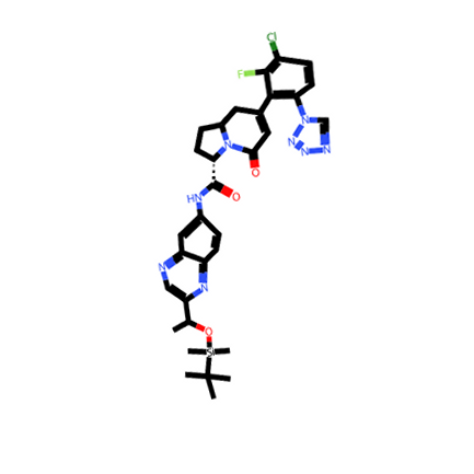 CC(O[Si](C)(C)C(C)(C)C)c1cnc2cc(NC(=O)[C@@H]3CCC4CC(c5c(-n6cnnn6)ccc(Cl)c5F)=CC(=O)N43)ccc2n1